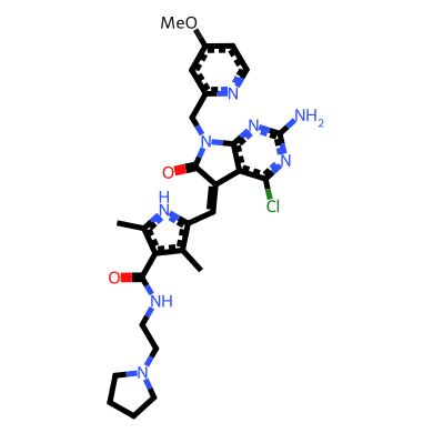 COc1ccnc(CN2C(=O)C(=Cc3[nH]c(C)c(C(=O)NCCN4CCCC4)c3C)c3c(Cl)nc(N)nc32)c1